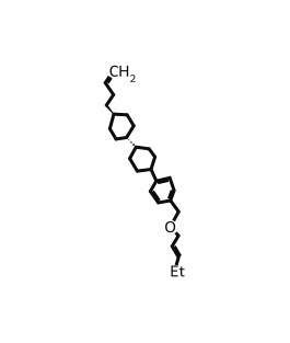 C=CCC[C@H]1CC[C@H](C2CCC(c3ccc(COCC=CCC)cc3)CC2)CC1